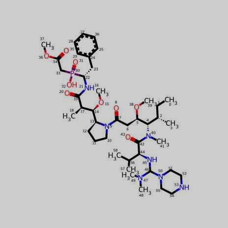 CC[C@H](C)[C@@H]([C@@H](CC(=O)N1CCC[C@H]1[C@H](OC)[C@@H](C)C(=O)N[C@@H](Cc1ccccc1)P(=O)(O)CC(=O)OC)OC)N(C)C(=O)[C@@H](NC(N(C)C)N1CCNCC1)C(C)C